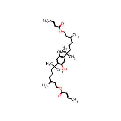 C/C=C/C(=O)OCCC(C)CCCC(C)(C)c1cc(OC)c(C(C)(C)CCCC(C)CCOC(=O)/C=C/C)cc1O